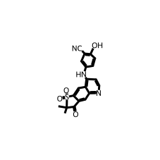 CC1(C)C(=O)c2cc3nccc(Nc4ccc(O)c(C#N)c4)c3cc2S1(=O)=O